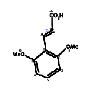 COc1cccc(OC)c1/C=C/C(=O)O